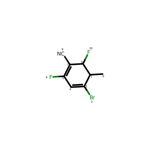 CC1C(Br)=CC(F)=C(C#N)C1F